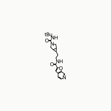 CC(C)(C)NC(=O)N1CC2C(CCNC(=O)c3cc4ccncc4o3)C2C1